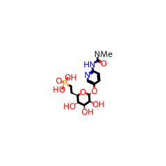 CNC(=O)Nc1ccc(O[C@H]2O[C@H](CCP(=O)(O)O)[C@@H](O)[C@H](O)[C@@H]2O)cn1